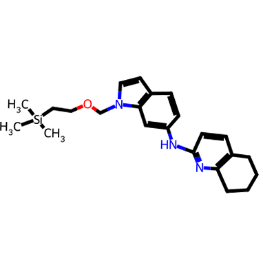 C[Si](C)(C)CCOCn1ccc2ccc(Nc3ccc4c(n3)CCCC4)cc21